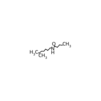 CCCCC(=O)NCCCCCC(C)C